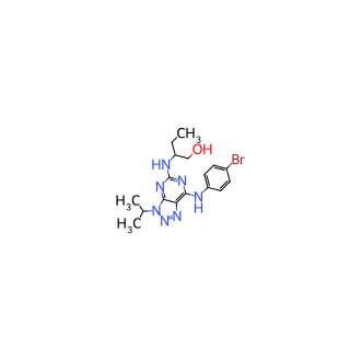 CCC(CO)Nc1nc(Nc2ccc(Br)cc2)c2nnn(C(C)C)c2n1